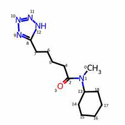 CN(C(=O)CCCCc1nnn[nH]1)C1CCCCC1